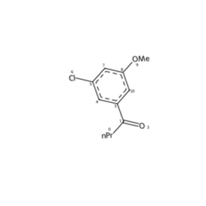 CCCC(=O)c1cc(Cl)cc(OC)c1